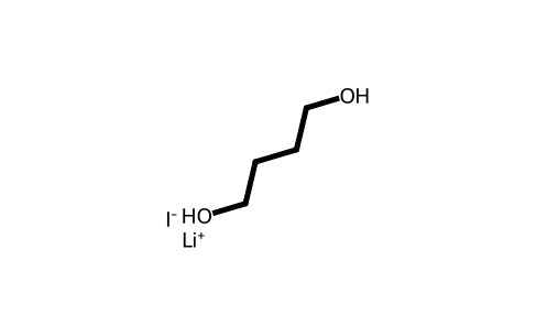 OCCCCO.[I-].[Li+]